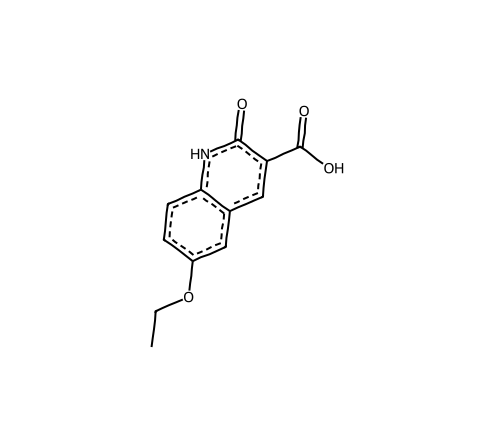 CCOc1ccc2[nH]c(=O)c(C(=O)O)cc2c1